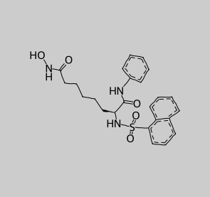 O=C(CCCCC[C@H](NS(=O)(=O)c1cccc2ccccc12)C(=O)Nc1ccccc1)NO